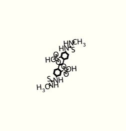 CNC(=S)Nc1ccc(/C=C/c2ccc(NC(=S)NC)cc2S(=O)(=O)O)c(S(=O)(=O)O)c1